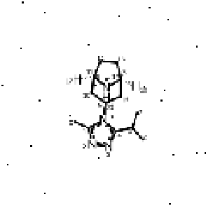 Cc1nnc(C(C)C)n1[C@H]1C[C@H]2CC[C@@H](C1)N2